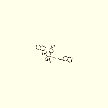 CC(NCc1ccc2ccccc2c1)C(CCCC=Cc1ccc2ccccc2c1)c1ccc(Cl)cc1